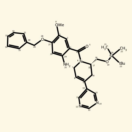 COc1cc(C(=O)N2CC=C(c3cncnc3)C[C@H]2CO[Si](C)(C)C(C)(C)C)c(N)cc1OCc1ccccc1